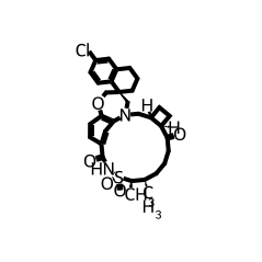 C[C@@H]1[C@@H](C)CCCC(=O)[C@@H]2CC[C@H]2CN2C[C@@]3(CCCc4cc(Cl)ccc43)COc3ccc(cc32)C(=O)NS1(=O)=O